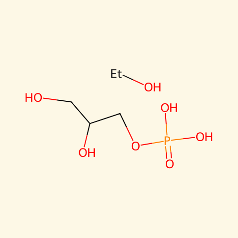 CCO.O=P(O)(O)OCC(O)CO